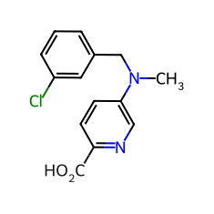 CN(Cc1cccc(Cl)c1)c1ccc(C(=O)O)nc1